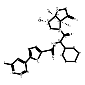 Cc1cc(-c2ccc(C(=O)NC(C(=O)N3C[C@H](Cl)[C@H]4OCC(=O)[C@H]43)C3CCCCC3)s2)cnn1